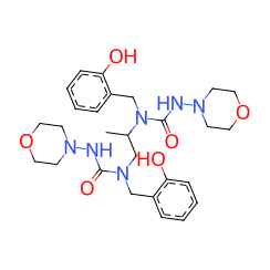 CC(CN(Cc1ccccc1O)C(=O)NN1CCOCC1)N(Cc1ccccc1O)C(=O)NN1CCOCC1